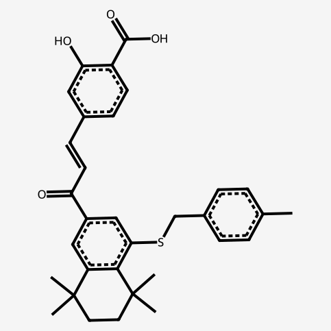 Cc1ccc(CSc2cc(C(=O)/C=C/c3ccc(C(=O)O)c(O)c3)cc3c2C(C)(C)CCC3(C)C)cc1